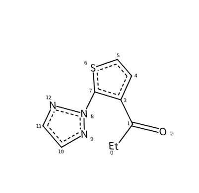 CCC(=O)c1ccsc1-n1nccn1